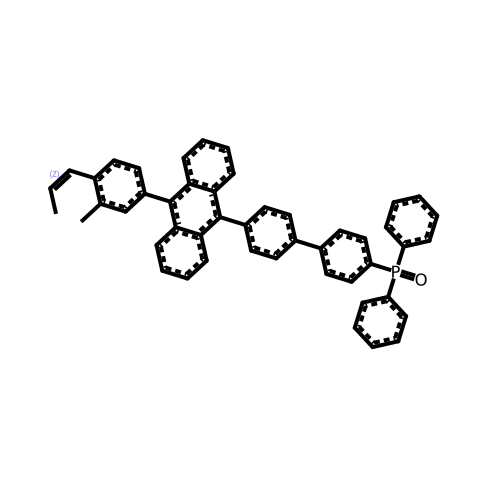 C/C=C\c1ccc(-c2c3ccccc3c(-c3ccc(-c4ccc(P(=O)(c5ccccc5)c5ccccc5)cc4)cc3)c3ccccc23)cc1C